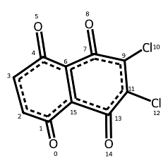 O=c1ccc(=O)c2c(=O)c(Cl)c(Cl)c(=O)c1=2